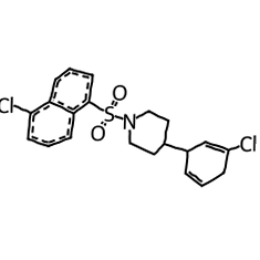 O=S(=O)(c1cccc2c(Cl)cccc12)N1CCC(C2C=CCC(Cl)=C2)CC1